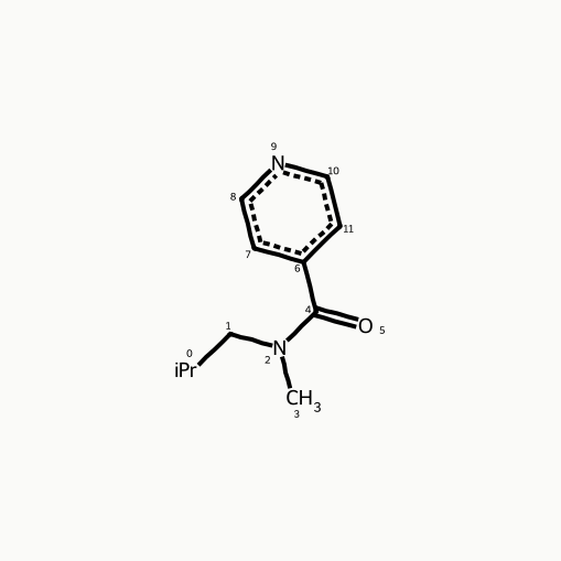 CC(C)CN(C)C(=O)c1ccncc1